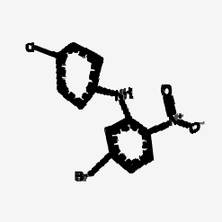 O=[N+]([O-])c1ccc(Br)cc1Nc1ccc(Cl)cc1